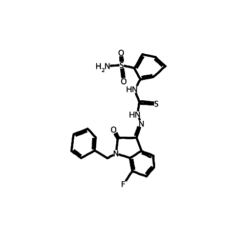 NS(=O)(=O)c1ccccc1NC(=S)NN=C1C(=O)N(Cc2ccccc2)c2c(F)cccc21